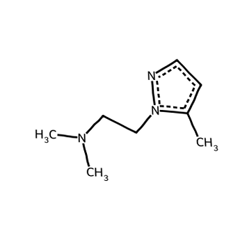 Cc1ccnn1CCN(C)C